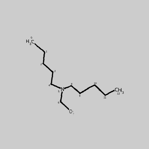 CCCCCN(C[O])CCCCC